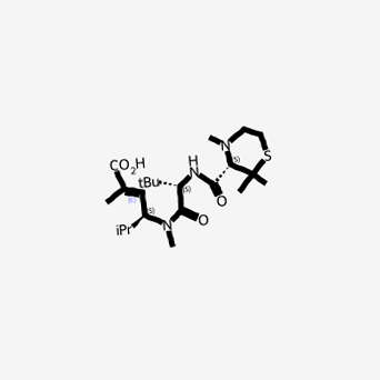 C/C(=C\[C@H](C(C)C)N(C)C(=O)[C@@H](NC(=O)[C@@H]1N(C)CCSC1(C)C)C(C)(C)C)C(=O)O